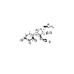 C=C[C@H]1O[C@@H](n2ccc(=O)[nH]c2=O)C(OC)C1O